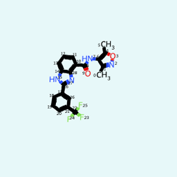 Cc1noc(C)c1NC(=O)c1cccc2[nH]c(-c3cccc(C(F)(F)F)c3)nc12